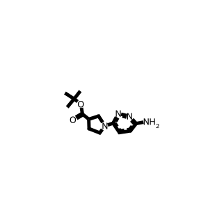 CC(C)(C)OC(=O)C1CCN(c2ccc(N)nn2)C1